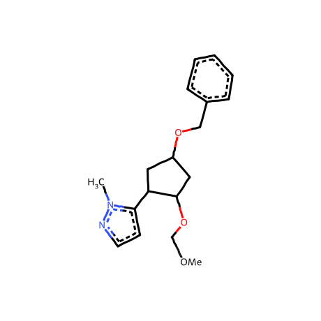 COCOC1CC(OCc2ccccc2)CC1c1ccnn1C